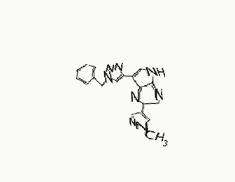 Cn1cc(C2CN=c3[nH]cc(-c4cn(Cc5ccccc5)nn4)c3=N2)cn1